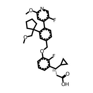 COCC1(c2cc(COc3cccc([C@@H](CC(=O)O)C4CC4)c3F)ccc2-c2cc(OC)ncc2F)CCCC1